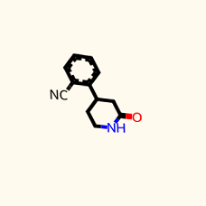 N#Cc1ccccc1C1CCNC(=O)C1